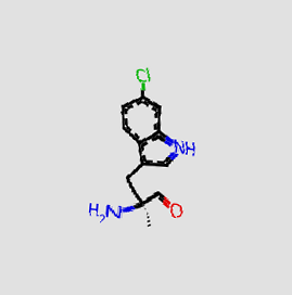 C[C@@](N)(C=O)Cc1c[nH]c2cc(Cl)ccc12